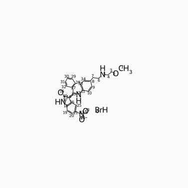 Br.COCCNCCc1ccc(NC(=C2C(=O)Nc3ccc([N+](=O)[O-])cc32)c2ccccc2)cc1